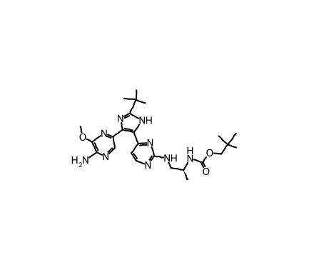 COc1nc(-c2nc(C(C)(C)C)[nH]c2-c2ccnc(NC[C@H](C)NC(=O)OCC(C)(C)C)n2)cnc1N